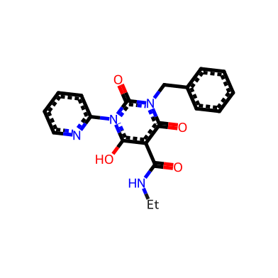 CCNC(=O)c1c(O)n(-c2ccccn2)c(=O)n(Cc2ccccc2)c1=O